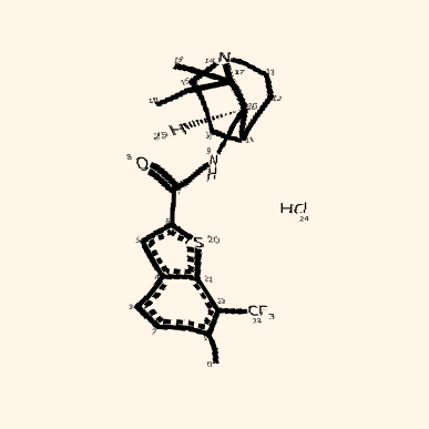 Cc1ccc2cc(C(=O)N[C@@H]3C4CCN(CC4)C3(C)C)sc2c1C(F)(F)F.Cl